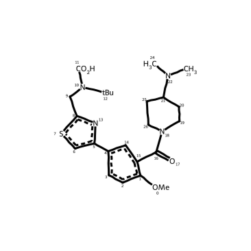 COc1ccc(-c2csc(CN(C(=O)O)C(C)(C)C)n2)cc1C(=O)N1CCC(N(C)C)CC1